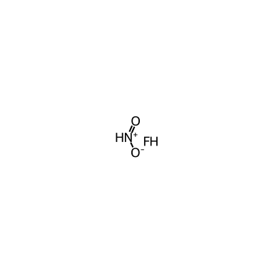 F.O=[NH+][O-]